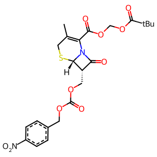 CC1=C(C(=O)OCOC(=O)C(C)(C)C)N2C(=O)[C@H](COC(=O)OCc3ccc([N+](=O)[O-])cc3)[C@@H]2SC1